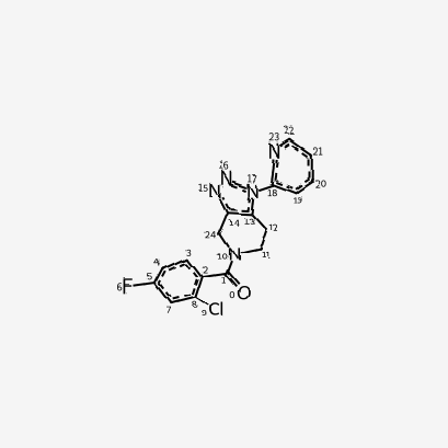 O=C(c1ccc(F)cc1Cl)N1CCc2c(nnn2-c2ccccn2)C1